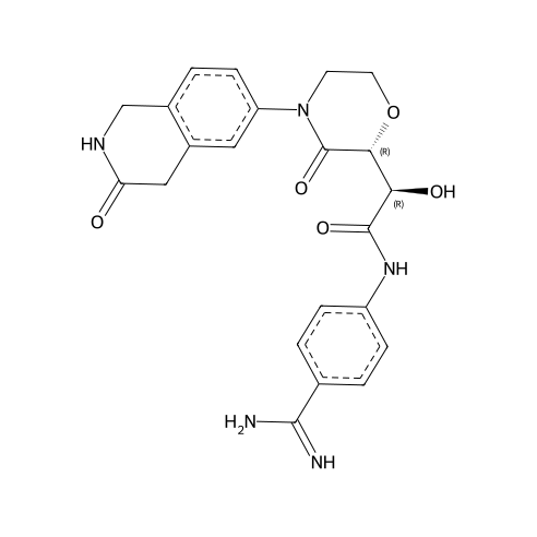 N=C(N)c1ccc(NC(=O)[C@H](O)[C@H]2OCCN(c3ccc4c(c3)CC(=O)NC4)C2=O)cc1